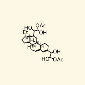 CC[C@H]1CC=C2[C@@H]3CC=C4C=C(C(O)C(O)OC(C)=O)CC[C@]4(C)[C@H]3CC(C(O)C(O)OC(C)=O)[C@@]21C